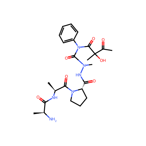 CC(=O)C(C)(O)C(=O)N(C(=O)N(C)NC(=O)[C@@H]1CCCN1C(=O)[C@H](C)NC(=O)[C@H](C)N)c1ccccc1